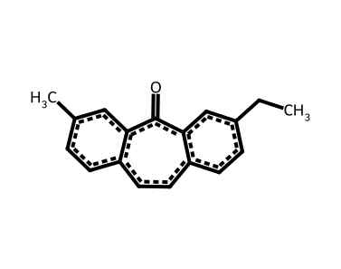 CCc1ccc2ccc3ccc(C)cc3c(=O)c2c1